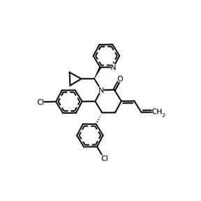 C=C/C=C1\C[C@H](c2cccc(Cl)c2)C(c2ccc(Cl)cc2)N([C@H](c2ccccn2)C2CC2)C1=O